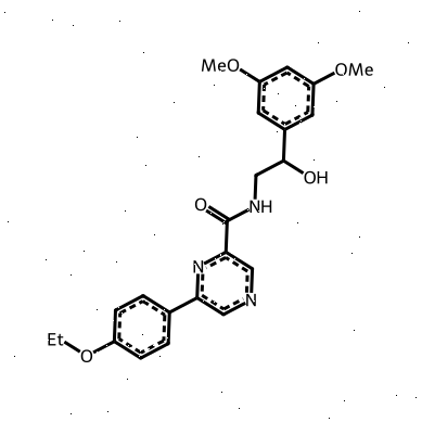 CCOc1ccc(-c2cncc(C(=O)NCC(O)c3cc(OC)cc(OC)c3)n2)cc1